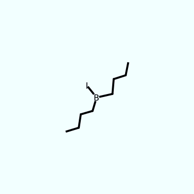 CCCCB(I)CCCC